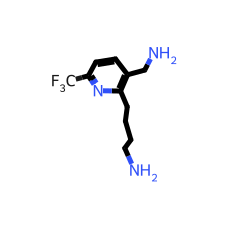 NCCCCc1nc(C(F)(F)F)ccc1CN